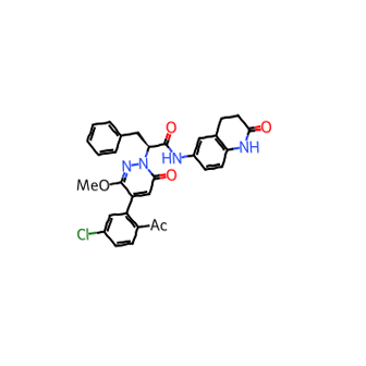 COc1nn([C@@H](Cc2ccccc2)C(=O)Nc2ccc3c(c2)CCC(=O)N3)c(=O)cc1-c1cc(Cl)ccc1C(C)=O